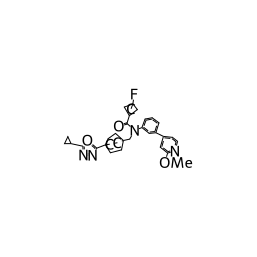 COc1cc(-c2cccc(N(CC34CCC(c5nnc(C6CC6)o5)(CC3)CC4)C(=O)C34CC(F)(C3)C4)c2)ccn1